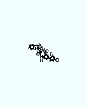 O=C1Nc2ccc(-c3ccc(Cl)cc3F)cc2C(=O)N2CCN(S(=O)(=O)Cc3ccccc3)C[C@H]12